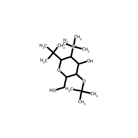 CC(C)(C)OC1C(CO)OC(C(C)(C)C)C([N+](C)(C)C)C1O